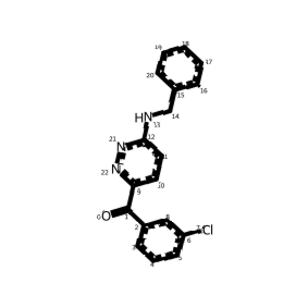 O=C(c1cccc(Cl)c1)c1ccc(NCc2ccccc2)nn1